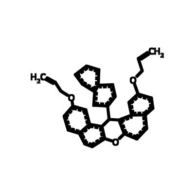 C=CCOc1ccc2ccc3c(c2c1)C(c1ccc2ccccc2c1)c1c(ccc2ccc(OCC=C)cc12)O3